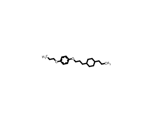 CCCOc1ccc(OCCCC2CCC(CCC)CC2)cc1